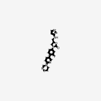 O=C1OC(CNc2ccno2)CN1c1ccc(-c2ccc(N3C=NOCC3)nc2)c(F)c1